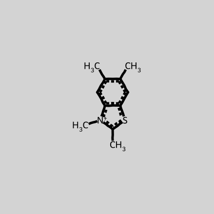 Cc1cc2sc(C)[n+](C)c2cc1C